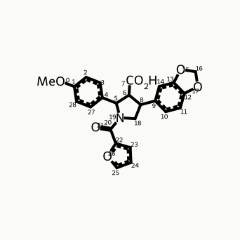 COc1ccc(C2C(C(=O)O)C(c3ccc4c(c3)OCO4)CN2C(=O)c2ccco2)cc1